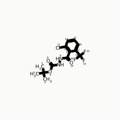 CC(C)(C)OC(=O)NNC(=O)c1c(Cl)cccc1C(F)(F)F